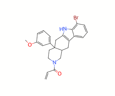 C=CC(=O)N1CCC2(c3cccc(OC)c3)Cc3[nH]c4c(Br)cccc4c3CC2C1